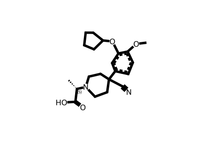 COc1ccc(C2(C#N)CCN([C@@H](C)C(=O)O)CC2)cc1OC1CCCC1